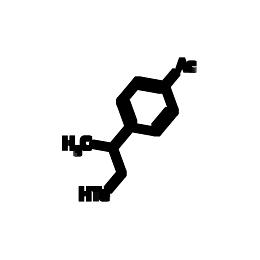 CC(=O)c1ccc(C(C)C[TeH])cc1